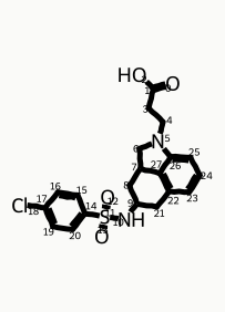 O=C(O)CCN1CC2CC(NS(=O)(=O)c3ccc(Cl)cc3)Cc3cccc1c32